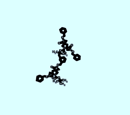 CC(C)(C)OC(=O)N1CC2(CN(OCc3cccc(CC(C)(C)OC(=O)N4CC5(CN(OCc6ccccc6)C5=O)CC45CN(OCc4ccccc4)C5=O)c3)C2=O)CC12CN(OCc1ccccc1)C2=O